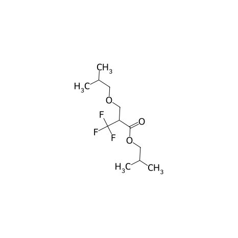 CC(C)COCC(C(=O)OCC(C)C)C(F)(F)F